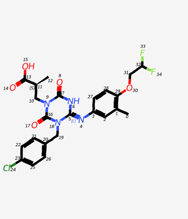 Cc1cc(/N=c2\[nH]c(=O)n(C[C@H](C)C(=O)O)c(=O)n2Cc2ccc(Cl)cc2)ccc1OCC(F)F